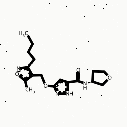 CCCCc1noc(C)c1COc1cc(C(=O)N[C@@H]2CCOC2)[nH]n1